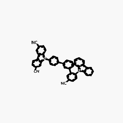 N#Cc1ccc(-n2c3ccccc3c3ccccc32)c(-c2cccc(-c3ccc(-n4c5ccc(C#N)cc5c5ccc(C#N)cc54)cc3)c2)c1